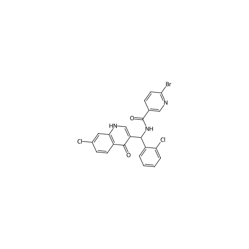 O=C(NC(c1ccccc1Cl)c1c[nH]c2cc(Cl)ccc2c1=O)c1ccc(Br)nc1